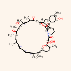 CO[C@H]1C[C@@H]2CC[C@@H](C)[C@@](O)(O2)[C@H](O)C(=O)N2CCC[C@@H]3C(C[C@@H]4CC[C@@H](O)[C@H](OC)C4)[C@H](CC(=O)C(C)/C=C(\C)[C@@H](O)[C@@H](OC)C(=O)[C@H](C)CC(C)/C=C/C=C/C=C/1C)OC(=O)[C@H]32